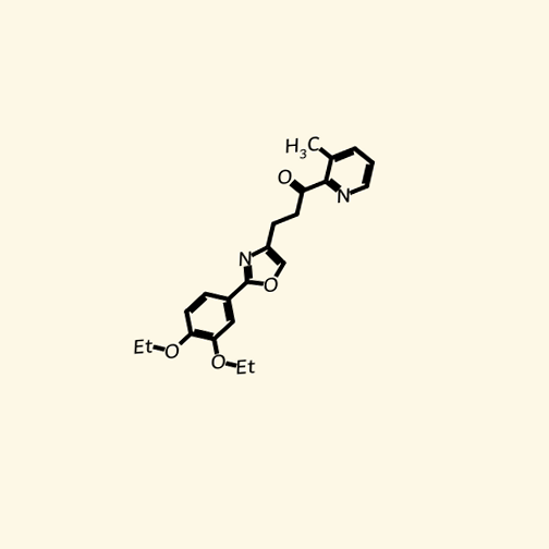 CCOc1ccc(-c2nc(CCC(=O)c3ncccc3C)co2)cc1OCC